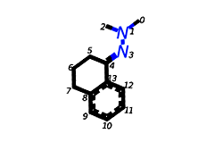 CN(C)N=C1CCCc2ccccc21